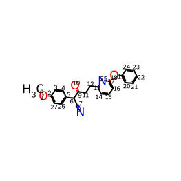 COc1ccc(C(C#N)C(=O)CCc2cccc(Oc3ccccc3)n2)cc1